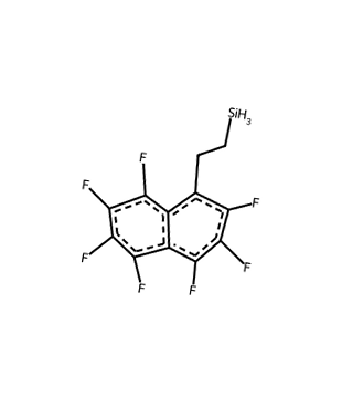 Fc1c(F)c(F)c2c(CC[SiH3])c(F)c(F)c(F)c2c1F